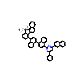 CC1(C)c2cccc(-c3ccc(-c4ccc(-c5nc(-c6ccccc6)cc(-c6ccc7ccccc7c6)n5)c5ccccc45)c4ccccc34)c2-c2ccc3ccccc3c21